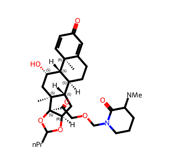 CCCC1O[C@@H]2C[C@H]3[C@@H]4CCC5=CC(=O)C=C[C@]5(C)[C@H]4[C@@H](O)C[C@]3(C)[C@]2(C(=O)COCN2CCCC(NC)C2=O)O1